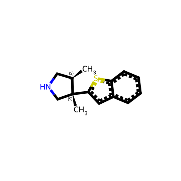 C[C@@H]1CNC[C@@]1(C)c1cc2ccccc2s1